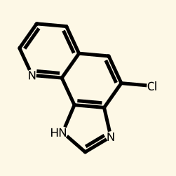 Clc1cc2cccnc2c2[nH]cnc12